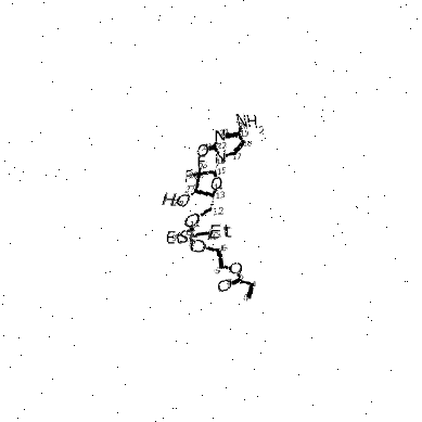 C=CC(=O)OCCO[Si](CC)(CC)OC[C@H]1O[C@@H](n2ccc(N)nc2=O)C(F)(F)[C@@H]1O